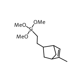 CO[Si](CCC1CC2CC1C=C2C)(OC)OC